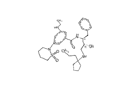 CCCC1(NC[C@@H](O)[C@H](Cc2ccccc2)NC(=O)c2cc(NCC)cc(N3CCCCS3(=O)=O)c2)CCCC1